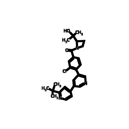 CC(C)(C)c1cc(-c2cncc(-c3ccc(C(=O)N4CCC4C(C)(C)O)cc3Cl)c2)ccn1